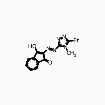 CCc1nnc(N=NC2=C(O)c3ccccc3C2=O)n1C